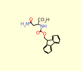 NC(=O)C[C@H](NC(=O)OCC1c2ccccc2-c2ccccc21)C(=O)O